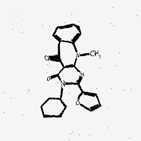 Cn1c2ccccc2c(=O)c2c(=O)n(C3CCCCC3)c(-c3ccco3)nc21